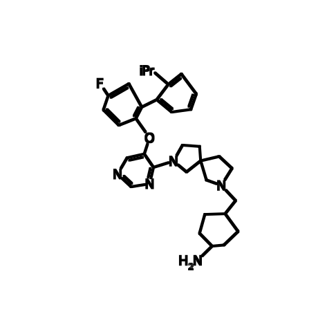 CC(C)c1ccccc1-c1cc(F)ccc1Oc1cncnc1N1CCC2(CCN(CC3CCC(N)CC3)C2)C1